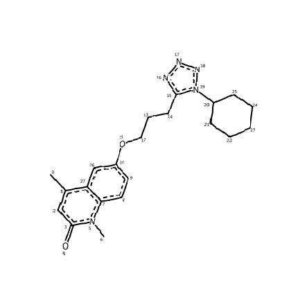 Cc1cc(=O)n(C)c2ccc(OCCCc3nnnn3C3CCCCC3)cc12